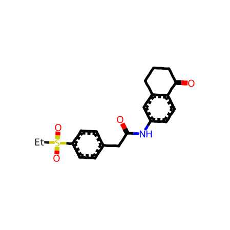 CCS(=O)(=O)c1ccc(CC(=O)Nc2ccc3c(c2)CCCC3=O)cc1